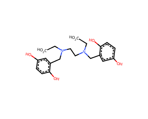 O=C(O)CN(CCN(CC(=O)O)Cc1cc(O)ccc1O)Cc1cc(O)ccc1O